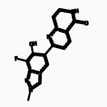 Cn1cc2cc(-c3ccc4c(=O)[nH]ccc4n3)c(O)c(F)c2n1